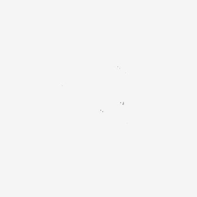 O=c1cc(-c2[nH]c(-c3c(F)cccc3Cl)nc2-c2ccc(Br)cc2)cc[nH]1